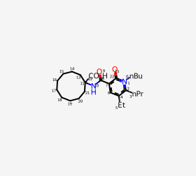 CCCCn1c(CCC)c(CC)cc(C(=O)NC2(C(=O)O)CCCCCCCCC2)c1=O